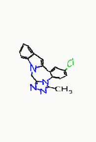 Cc1nnc2n1-c1ccc(Cl)cc1-c1cc3ccccc3n1C2